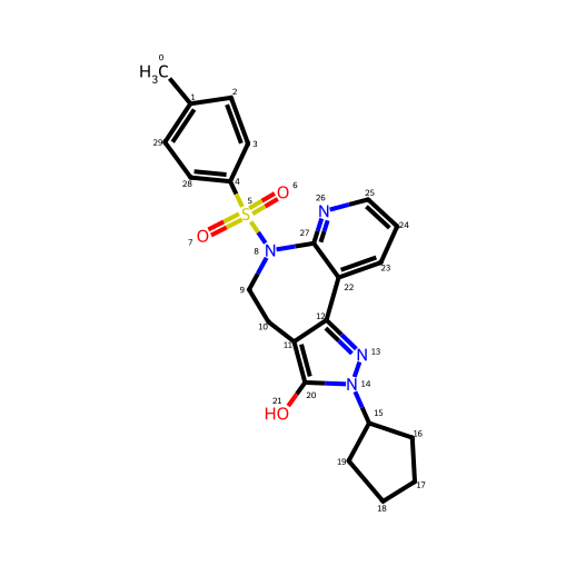 Cc1ccc(S(=O)(=O)N2CCc3c(nn(C4CCCC4)c3O)-c3cccnc32)cc1